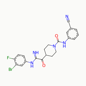 N#Cc1cccc(NC(=O)N2CCC(C(=O)C(=N)Nc3ccc(F)c(Br)c3)CC2)c1